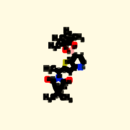 CC(c1cc2nccc(B3OC(C)(C)C(C)(C)O3)c2s1)N1C(=O)C2C(C1=O)C2(C)C